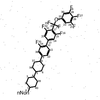 CCCCCCCCCC1CCC(C2CCC(c3ccc(-c4cc(F)c(C(F)(F)Oc5cc(F)c(F)c(F)c5)c(F)c4)c(F)c3)CC2)CC1